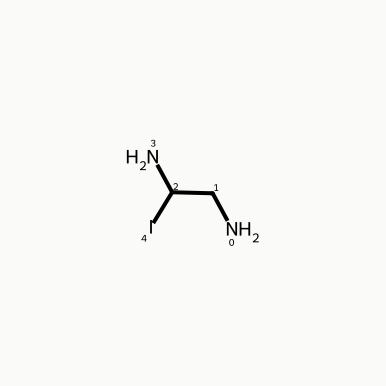 NCC(N)I